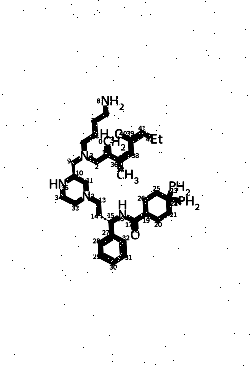 C=C(CN(CCCCN)C[C@H]1CN(CC[C@H](NC(=O)C2CCC(P)(P)CC2)c2ccccc2)CCN1)/C(C)=C\C(C)=C/CC